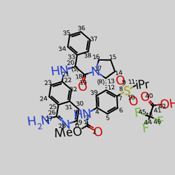 COC(=O)Nc1ccc(S(=O)(=O)C(C)C)c([C@H]2CCCN2C(=O)[C@@H](Nc2ccc3c(N)nccc3c2)c2ccccc2)c1.O=C(O)C(F)(F)F